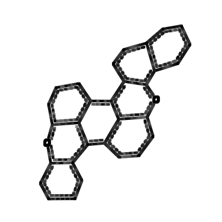 c1ccc2c(c1)ccc1c2oc2cccc3c2c1c1cccc2oc4ccccc4c3c21